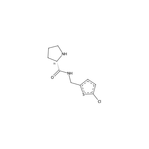 O=C(NCc1ccc(Cl)s1)[C@@H]1CCCN1